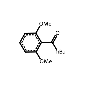 C[CH]CCC(=O)c1c(OC)cccc1OC